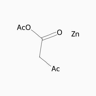 CC(=O)CC(=O)OC(C)=O.[Zn]